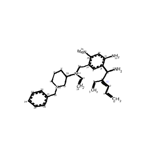 C=C/C=C(\C=C)C(N)c1cc(CN(C=C)C2CCCN(Cc3ccccc3)C2)c(NC)cc1N